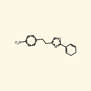 O=[N+]([O-])c1ccc(CCc2csc(C3=CCCC=C3)n2)cc1